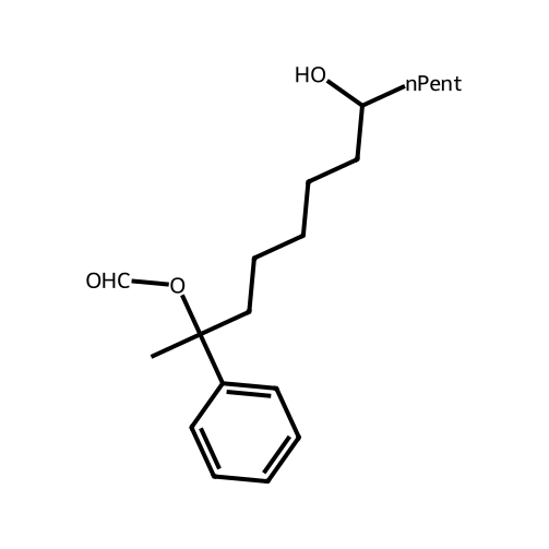 CCCCCC(O)CCCCCC(C)(OC=O)c1ccccc1